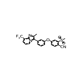 Cc1nc2c(C(F)(F)F)cccn2c1-c1cccc(Oc2ccc(C#N)c(S(C)(=O)=O)c2)c1